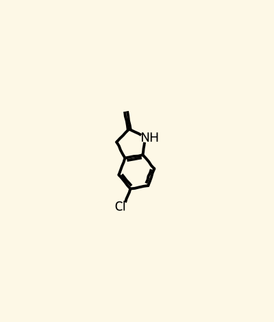 C=C1Cc2cc(Cl)ccc2N1